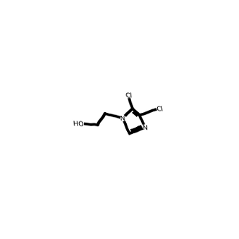 OCCn1cnc(Cl)c1Cl